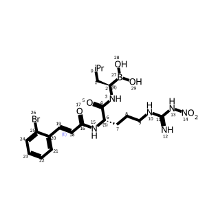 CC(C)C[C@H](NC(=O)[C@H](CCCNC(=N)N[N+](=O)[O-])NC(=O)/C=C/c1ccccc1Br)B(O)O